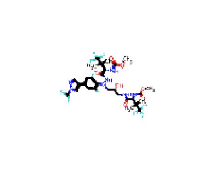 COC(=O)NC(C(=O)NC[C@@H](O)CN(NC(=O)[C@@H](NC(=O)OC)C(C)(C)C(F)(F)F)c1c(F)cc(-c2cnn(C(F)F)c2)cc1F)C(C)(C)C(F)(F)F